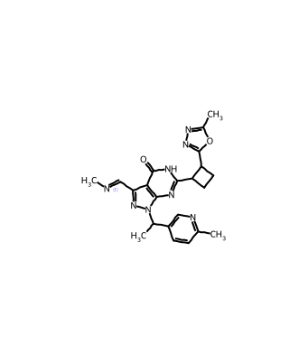 C/N=C/c1nn(C(C)c2ccc(C)nc2)c2nc(C3CCC3c3nnc(C)o3)[nH]c(=O)c12